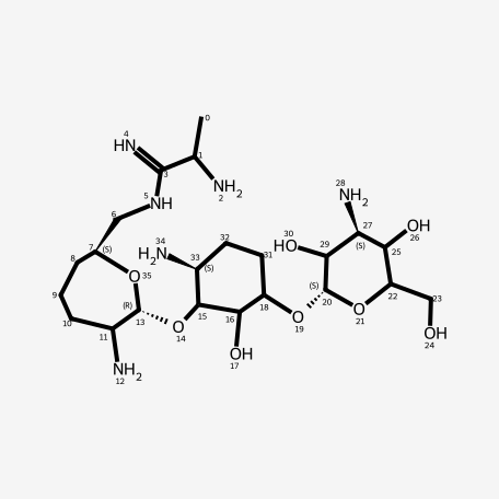 CC(N)C(=N)NC[C@@H]1CCCC(N)[C@@H](OC2C(O)C(O[C@H]3OC(CO)C(O)[C@H](N)C3O)CC[C@@H]2N)O1